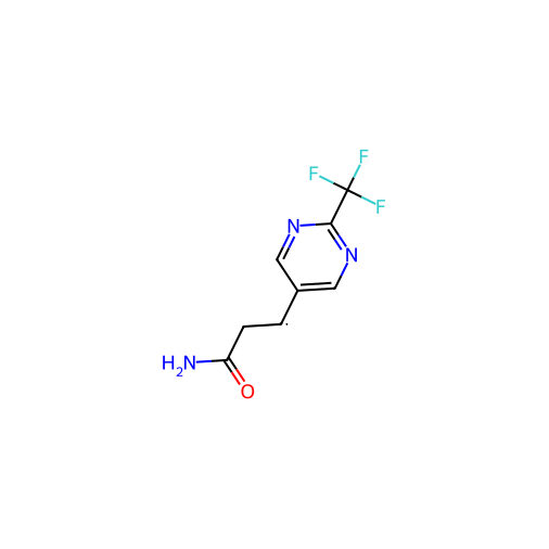 NC(=O)C[CH]c1cnc(C(F)(F)F)nc1